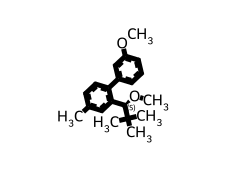 COc1cccc(-c2ccc(C)cc2[C@@H](OC)C(C)(C)C)c1